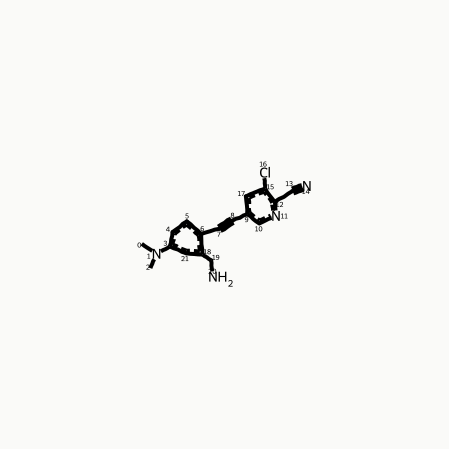 CN(C)c1ccc(C#Cc2cnc(C#N)c(Cl)c2)c(CN)c1